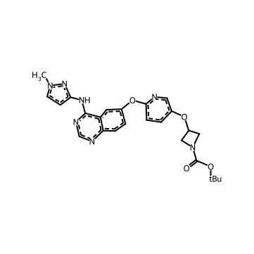 Cn1ccc(Nc2ncnc3ccc(Oc4ccc(OC5CN(C(=O)OC(C)(C)C)C5)cn4)cc23)n1